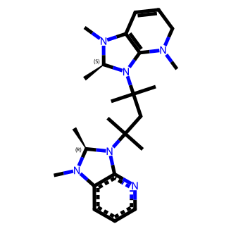 C[C@@H]1N(C)c2cccnc2N1C(C)(C)CC(C)(C)N1C2=C(C=CCN2C)N(C)[C@@H]1C